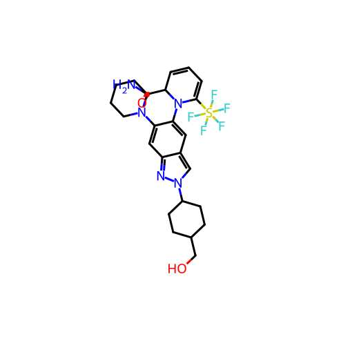 NC(=O)C1C=CC=C(S(F)(F)(F)(F)F)N1c1cc2cn(C3CCC(CO)CC3)nc2cc1N1CCCCC1